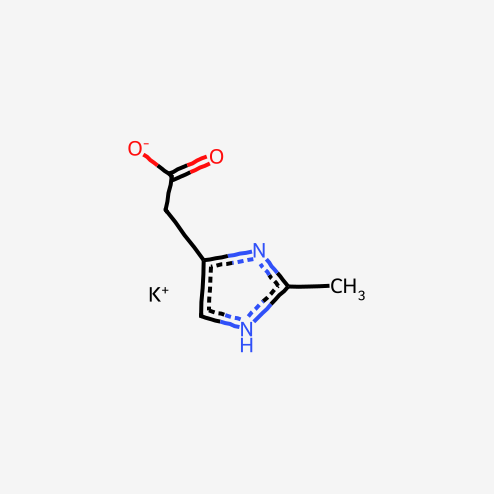 Cc1nc(CC(=O)[O-])c[nH]1.[K+]